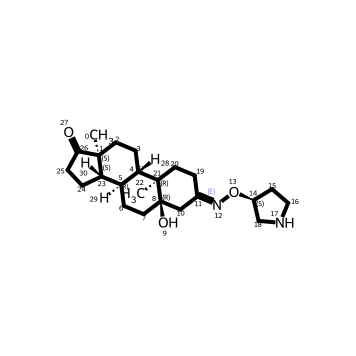 C[C@]12CC[C@H]3[C@@H](CC[C@@]4(O)C/C(=N/O[C@H]5CCNC5)CC[C@]34C)[C@@H]1CCC2=O